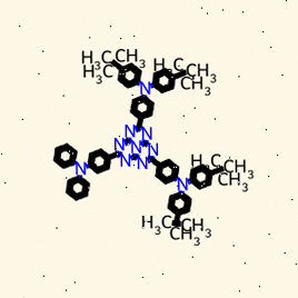 CC(C)(C)c1ccc(N(c2ccc(C3=NC4=NC(c5ccc(N(c6ccccc6)c6ccccc6)cc5)=NC5=NC(c6ccc(N(c7ccc(C(C)(C)C)cc7)c7ccc(C(C)(C)C)cc7)cc6)=NC(=N3)N45)cc2)c2ccc(C(C)(C)C)cc2)cc1